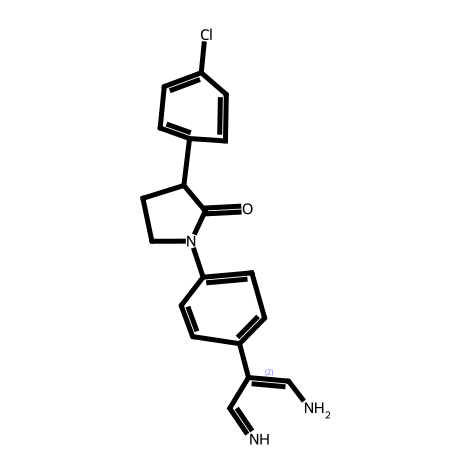 N=C/C(=C\N)c1ccc(N2CCC(c3ccc(Cl)cc3)C2=O)cc1